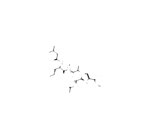 CC[C@H](C)C(NC(=O)CC(C)C)C(=O)N(C)[C@H](C[C@@H](OC(C)=O)c1nc(C(=O)OC)cs1)C(C)C